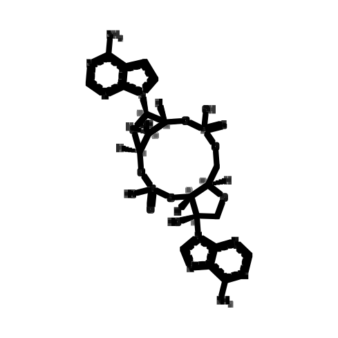 Nc1ncnc2c1ccn2[C@@H]1O[C@@H]2OP(=O)(S)O[C@@H]3[C@@H](COP(O)(=S)O[C@@H]1[C@@H]2O)OC[C@]3(O)n1cnc2c(N)ncnc21